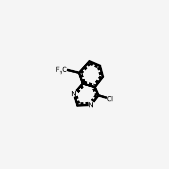 FC(F)(F)c1cccc2c(Cl)ncnc12